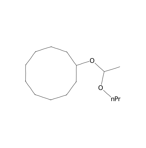 CCCOC(C)OC1CCCCCCCCC1